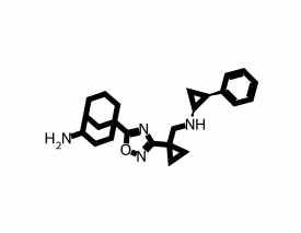 NC1CCC2(c3nc(C4(CN[C@@H]5C[C@H]5c5ccccc5)CC4)no3)CCCC1C2